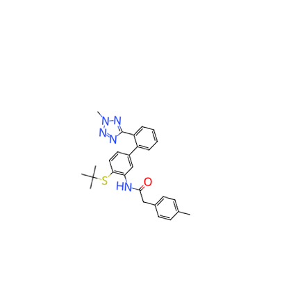 Cc1ccc(CC(=O)Nc2cc(-c3ccccc3-c3nnn(C)n3)ccc2SC(C)(C)C)cc1